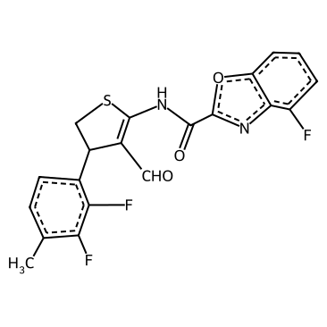 Cc1ccc(C2CSC(NC(=O)c3nc4c(F)cccc4o3)=C2C=O)c(F)c1F